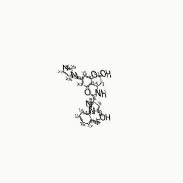 O=C(O)CC(NC(=O)c1cc(O)n(-c2ccccc2F)n1)c1ccc(-n2ccnc2)cc1